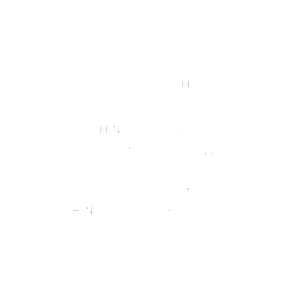 NCCCC(N)CCCO.O=C(O)C1=CCCCC1